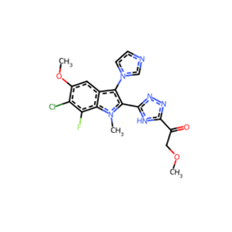 COCC(=O)c1nnc(-c2c(-n3ccnc3)c3cc(OC)c(Cl)c(F)c3n2C)[nH]1